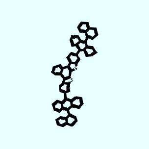 c1ccc2c(-c3c4ccccc4c(-c4ccc5c(c4)sc4c6sc7cc(-c8c9ccccc9c(-c9cccc%10ccccc9%10)c9ccccc89)ccc7c6c6ccccc6c54)c4ccccc34)cccc2c1